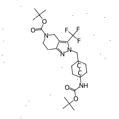 CC(C)(C)OC(=O)NC12CCC(Cn3nc4c(c3C(F)(F)F)CN(C(=O)OC(C)(C)C)CC4)(CC1)CC2